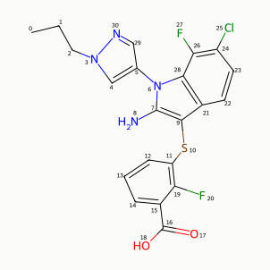 CCCn1cc(-n2c(N)c(Sc3cccc(C(=O)O)c3F)c3ccc(Cl)c(F)c32)cn1